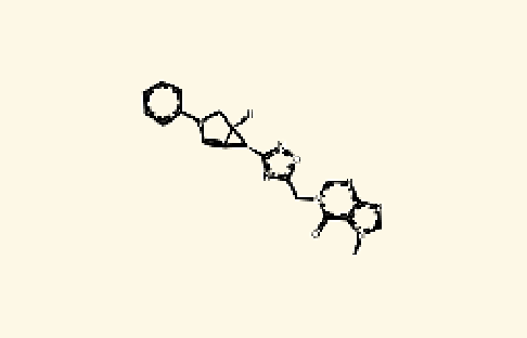 Cn1cnc2ncn(Cc3nc([C@H]4C5=CN(c6ccccc6)C[C@@H]54)no3)c(=O)c21